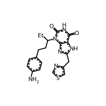 CCC(CCc1ccc(N)cc1)n1c(=O)[nH]c(=O)c2[nH]c(Cc3cscn3)nc21